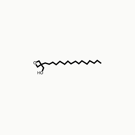 CCCCCCCCCCCCCCCCC1(CO)COC1